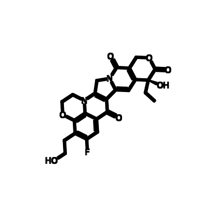 CC[C@@]1(O)C(=O)OCc2c1cc1n(c2=O)Cc2c-1c(=O)c1cc(F)c(CCO)c3c1n2CCO3